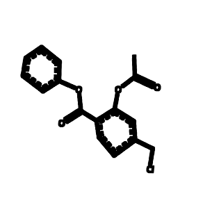 CC(=O)Oc1cc(CCl)ccc1C(=O)Oc1ccccc1